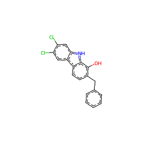 Oc1c(Cc2ccccc2)ccc2c1[nH]c1cc(Cl)c(Cl)cc12